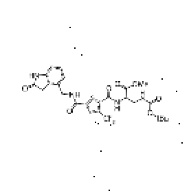 COC(=O)C(CNC(=O)OC(C)(C)C)NC(=O)c1sc(C(=O)NCc2cccc3c2CC(=O)N3)cc1C(F)(F)F